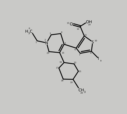 CCN1CCC(c2cc(I)sc2C(=O)O)=C(C2CCC(C)CC2)C1